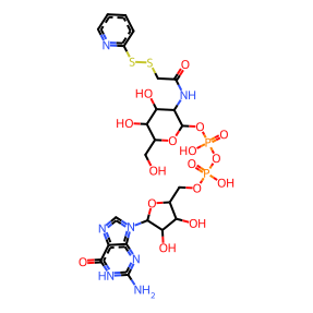 Nc1nc2c(ncn2C2OC(COP(=O)(O)OP(=O)(O)OC3OC(CO)C(O)C(O)C3NC(=O)CSSc3ccccn3)C(O)C2O)c(=O)[nH]1